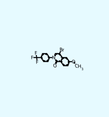 COc1ccc2c(=O)n(-c3ccc(C(F)(F)F)cc3)cc(Br)c2c1